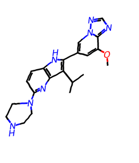 COc1cc(-c2[nH]c3ccc(N4CCNCC4)nc3c2C(C)C)cn2ncnc12